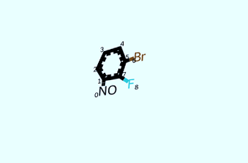 O=Nc1cccc(Br)c1F